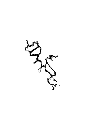 CCC/C=C1\C=CC(N2CCN(C)[C@@H](C)C2)=CN1C(=O)/C=C(\C)c1ccc2nc(C)oc2c1